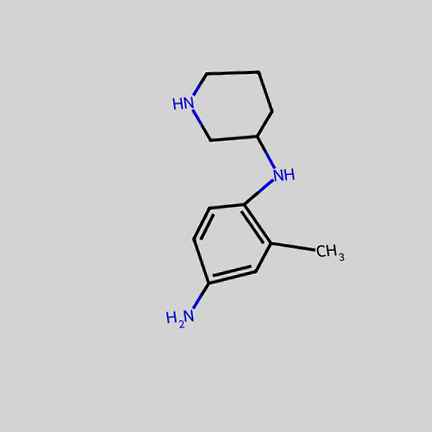 Cc1cc(N)ccc1NC1CCCNC1